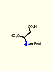 CCCCCNC(CC(=O)O)C(=O)O